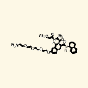 COCC(=O)NC(C(=O)N1Cc2cc(OCCOCCOCCOCCN)ccc2CC1C(=O)N[C@@H]1CCCc2ccccc21)C(C)(C)C